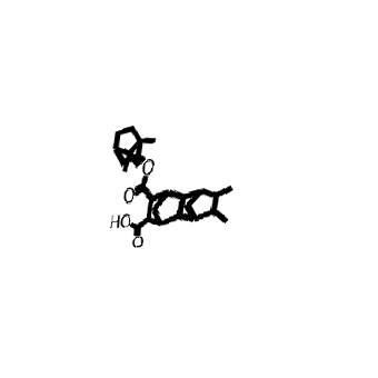 CC1C(C)C2CC1C1C3CC(C(C(=O)OC4CC5CCC4(C)C5(C)C)C3C(=O)O)C21